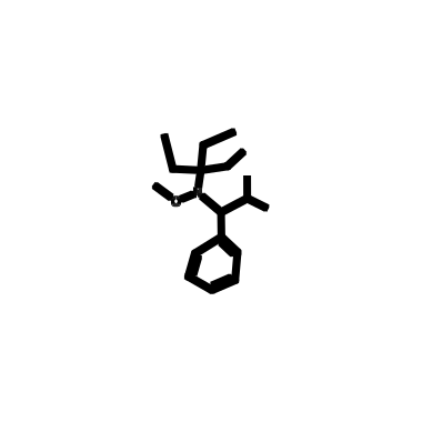 CCC(CC)(CC)N(OC)C(c1ccccc1)C(C)C